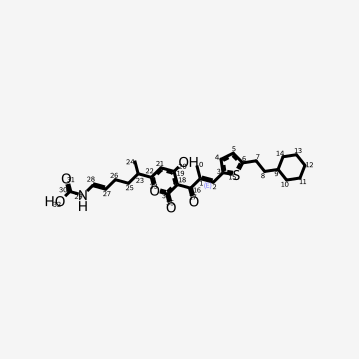 C/C(=C\c1ccc(CCC2CCCCC2)s1)C(=O)c1c(O)cc(C(C)CCC=CNC(=O)O)oc1=O